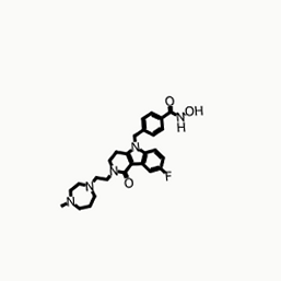 CN1CCCN(CCN2CCc3c(c4cc(F)ccc4n3Cc3ccc(C(=O)NO)cc3)C2=O)CC1